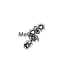 COc1ccc(S(=O)(=O)c2ccccc2)cc1S(=O)(=O)NCCc1ccncc1